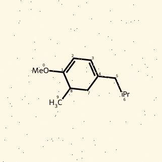 COC1=CC=C(CC(C)C)CC1C